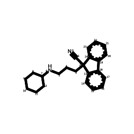 N#CC1(CCCNC2CCCCC2)c2ccccc2-c2ccccc21